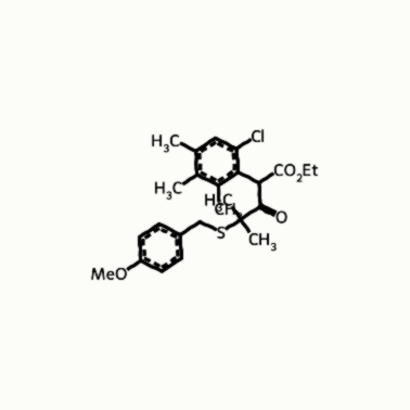 CCOC(=O)C(C(=O)C(C)(C)SCc1ccc(OC)cc1)c1c(Cl)cc(C)c(C)c1C